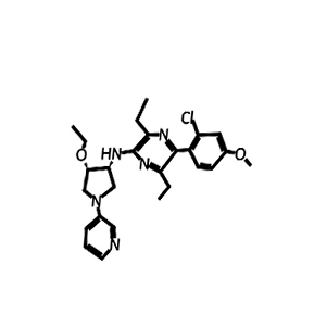 CCO[C@H]1CN(c2cccnc2)C[C@H]1Nc1nc(CC)c(-c2ccc(OC)cc2Cl)nc1CC